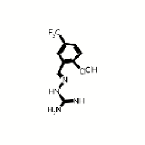 Cl.N=C(N)N/N=C/c1cc(C(F)(F)F)ccc1Cl